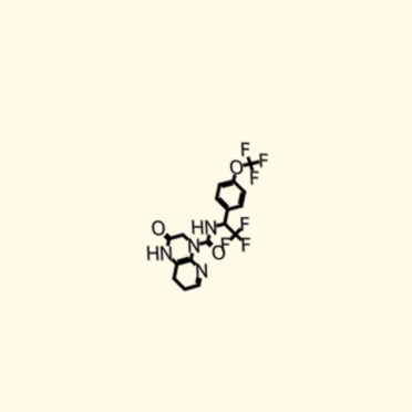 O=C1CN(C(=O)NC(c2ccc(OC(F)(F)F)cc2)C(F)(F)F)C2=C(CCC=N2)N1